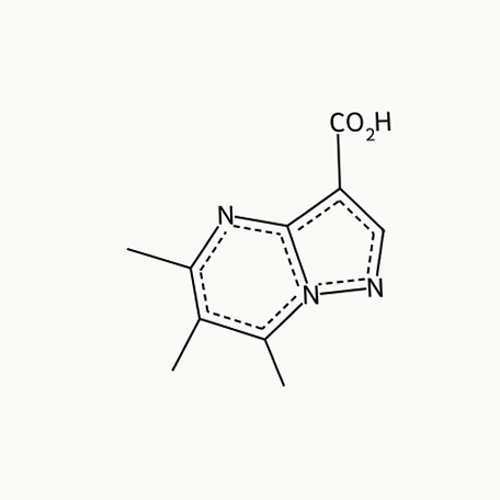 Cc1nc2c(C(=O)O)cnn2c(C)c1C